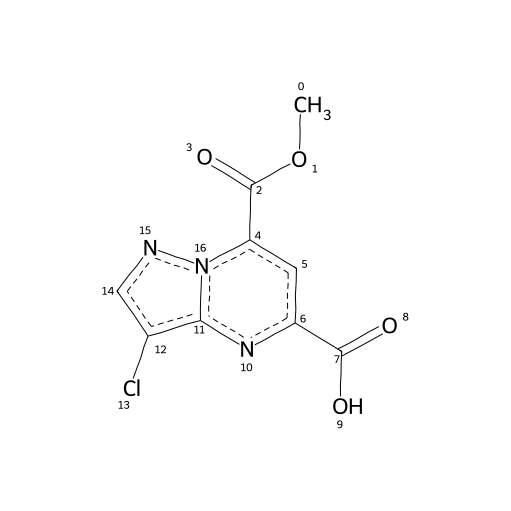 COC(=O)c1cc(C(=O)O)nc2c(Cl)cnn12